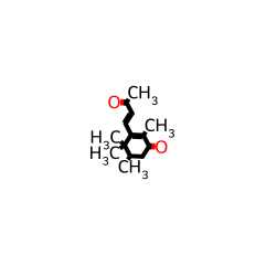 CC(=O)/C=C/C1=C(C)C(=O)CC(C)C1(C)C